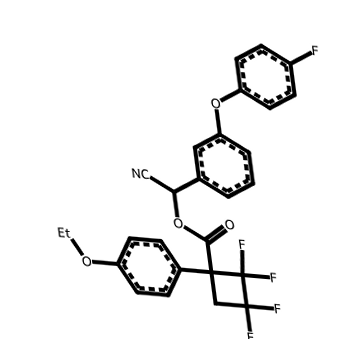 CCOc1ccc(C2(C(=O)OC(C#N)c3cccc(Oc4ccc(F)cc4)c3)CC(F)(F)C2(F)F)cc1